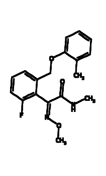 CNC(=O)/C(=N\OC)c1c(F)cccc1COc1ccccc1C